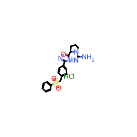 Cl.N=C(N)N1CCCC1c1nc(-c2ccc(CS(=O)(=O)c3ccccc3)cc2)no1